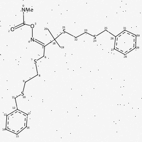 CNC(=O)ON=C(CSCCSCc1ccccc1)C(C)(C)SCCSCc1ccccc1